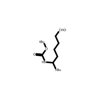 CCCCC(CCCC[C]=O)NC(=O)OC(C)(C)C